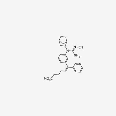 N#CN=C(N)N(c1cccc(/C(=C\CCCC(=O)O)c2cccnc2)c1)C1CC2CCC1C2